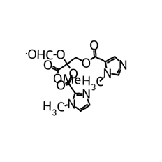 COC(=O)C(COC(=O)c1cncn1C)(O[C]=O)OC(=O)c1nccn1C